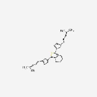 C/C(C#N)=C/C=C/C1=CC=C(c2sc(C3=CC=C(/C=C/C=C(/C)C#N)C3)c3c2CCCC3)C1